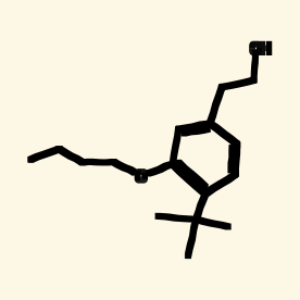 CCCCOc1cc(CCO)ccc1C(C)(C)C